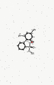 CCOP(=O)(OCC)c1ccccc1-c1c(C(C)C)cc(C(C)C)cc1C(C)C